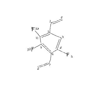 C=Cc1cc(F)c(C=C)c(F)c1F